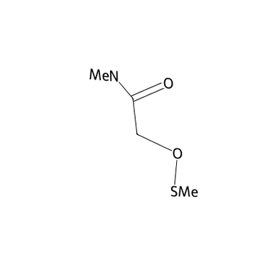 CNC(=O)COSC